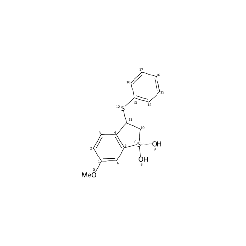 COc1ccc2c(c1)S(O)(O)CC2Sc1ccccc1